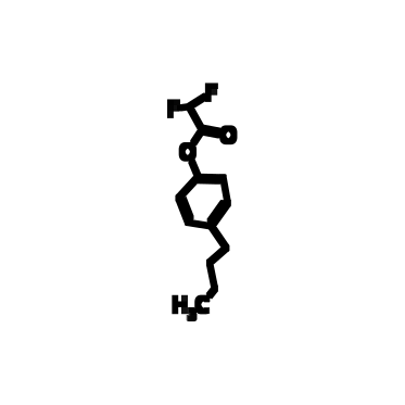 CCCCc1ccc(OC(=O)C(F)F)cc1